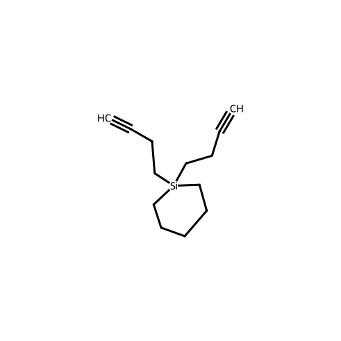 C#CCC[Si]1(CCC#C)CCCCC1